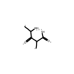 CC(N)C(=O)C(C)C(=O)S